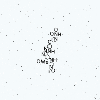 C=CC(=O)N1CCC(Nc2cc3c(Nc4ccc(Oc5ccnc(C(=O)NC6CCCC6)c5)cc4F)ncnc3cc2OC)CC1